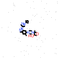 Cc1cc2cnn(-c3cnn(C45CC(C4)C5)c3)c2cc1N1CCN(C2(C)COCC2O)CC1